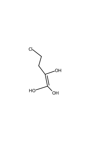 OC(O)=C(O)CCCl